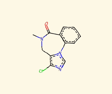 CN1Cc2c(Cl)ncn2-c2ccccc2C1=O